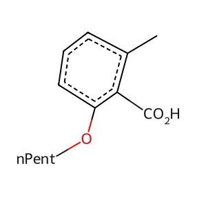 CCCCCOc1cccc(C)c1C(=O)O